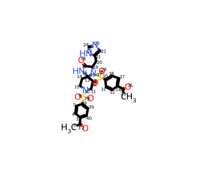 CC(=O)c1ccc(S(=O)(=O)N2CCC3(CC2)NC(=O)C(Cc2cnc[nH]2)N3S(=O)(=O)c2ccc(C(C)=O)cc2)cc1